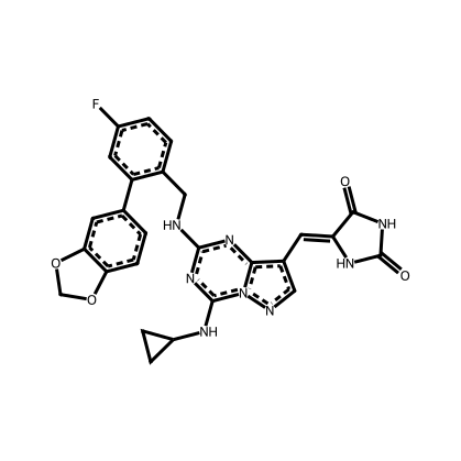 O=C1NC(=O)/C(=C/c2cnn3c(NC4CC4)nc(NCc4ccc(F)cc4-c4ccc5c(c4)OCO5)nc23)N1